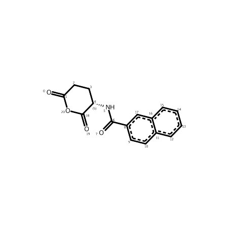 O=C1CC[C@H](NC(=O)c2ccc3ccccc3c2)C(=O)O1